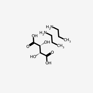 CCCN.CCCN.O=C(O)[C@H](O)[C@@H](O)C(=O)O